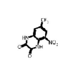 O=c1[nH]c2cc(C(F)(F)F)cc([N+](=O)[O-])c2[nH]c1=O